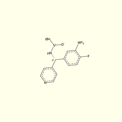 CC(C)(C)[S+]([O-])N[C@@H](c1ccncc1)c1ccc(F)c(N)c1